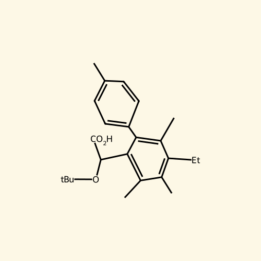 CCc1c(C)c(C)c(C(OC(C)(C)C)C(=O)O)c(-c2ccc(C)cc2)c1C